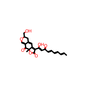 C/C=C/C=C/C=C/C(=O)/C=C(\O)C1=C2C=C3CC(CO)OC=C3C(=O)C2(C)OC1=O